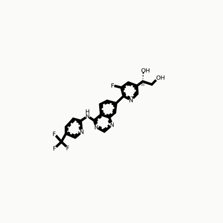 OC[C@@H](O)c1cnc(-c2ccc3c(Nc4ccc(C(F)(F)F)cn4)ncnc3c2)c(F)c1